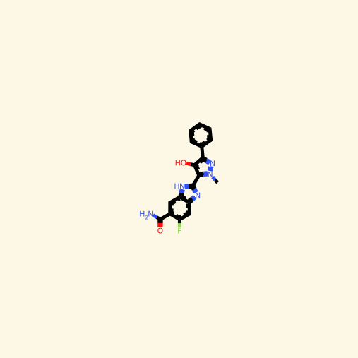 Cn1nc(-c2ccccc2)c(O)c1-c1nc2cc(F)c(C(N)=O)cc2[nH]1